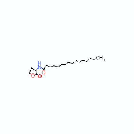 CCCCCCCCCCCCCCCC(=O)NC1CCOC1=O